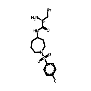 CC(C)C[C@H](N)C(=O)NC1CCCN(S(=O)(=O)c2ccc(Cl)cc2)CC1